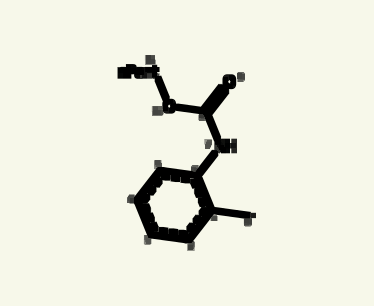 [CH2]c1ccccc1NC(=O)OCCCCC